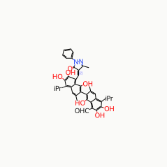 CC1=NN(c2ccccc2)C(=O)/C1=C\c1c(O)c(O)c(C(C)C)c2cc(C)c(-c3c(C)cc4c(C(C)C)c(O)c(O)c(C=O)c4c3O)c(O)c12